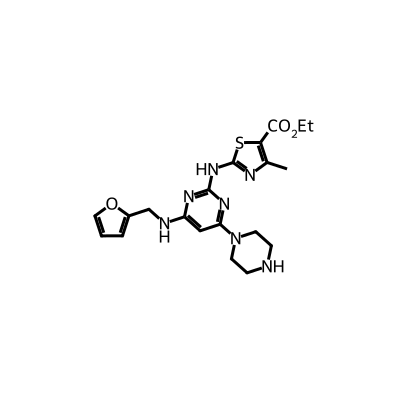 CCOC(=O)c1sc(Nc2nc(NCc3ccco3)cc(N3CCNCC3)n2)nc1C